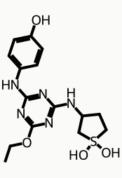 CCOc1nc(Nc2ccc(O)cc2)nc(NC2CCS(O)(O)C2)n1